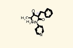 CC(C)C(=O)/C(=C/c1ccccc1)C(=O)Nc1ccncc1